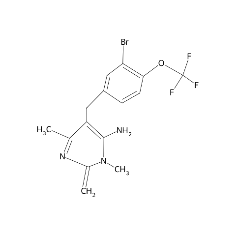 C=C1N=C(C)C(Cc2ccc(OC(F)(F)F)c(Br)c2)=C(N)N1C